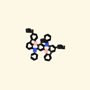 CC(C)(C)c1ccc2c(c1)-c1cccc3c1B2c1c(cc2c(c1C(C)(C)C)N(c1ccccc1)c1cc(C(C)(C)C)cc4c1B2c1ccccc1-4)N3c1ccccc1